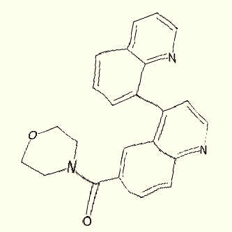 O=C(c1ccc2nccc(-c3cccc4cccnc34)c2c1)N1CCOCC1